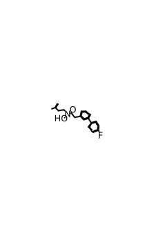 C=C(C)CCN(O)C(=O)Cc1cccc(-c2ccc(F)cc2)c1